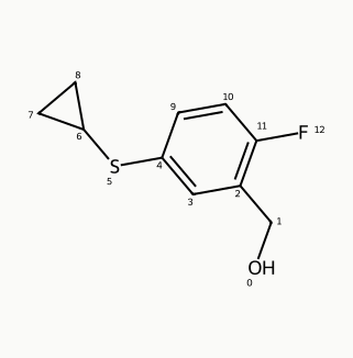 OCc1cc(SC2CC2)ccc1F